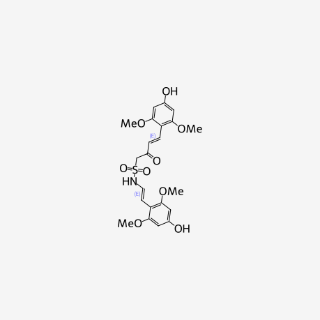 COc1cc(O)cc(OC)c1/C=C/NS(=O)(=O)CC(=O)/C=C/c1c(OC)cc(O)cc1OC